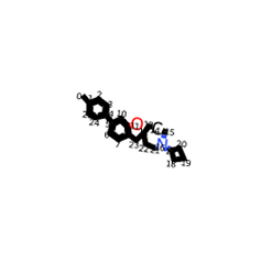 Cc1ccc(-c2ccc3c(c2)OC2(CCCN(C4CCC4)CC2)C3)cc1